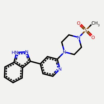 CS(=O)(=O)N1CCN(c2cc(-c3n[nH]c4ccccc34)ccn2)CC1